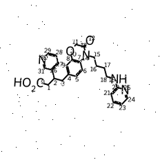 O=C(O)CC(Cc1ccc2c(c1)OCC(=O)N2CCCCNc1ccccn1)c1cccnc1